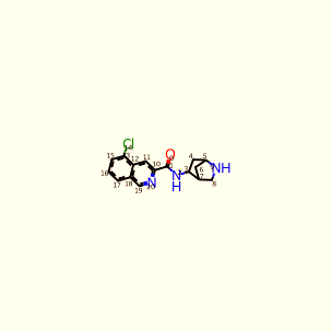 O=C(NC1CC2CC1CN2)c1cc2c(Cl)cccc2cn1